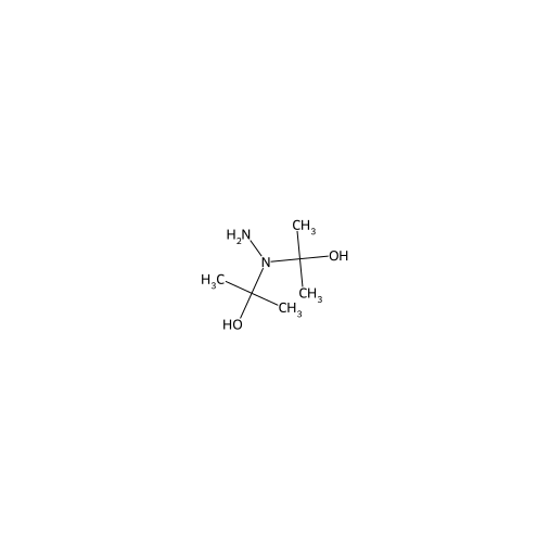 CC(C)(O)N(N)C(C)(C)O